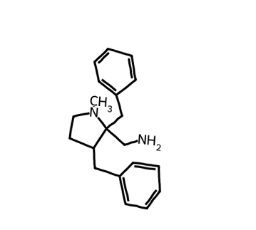 CN1CCC(Cc2ccccc2)C1(CN)Cc1ccccc1